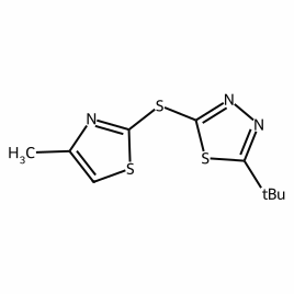 Cc1csc(Sc2nnc(C(C)(C)C)s2)n1